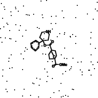 COC(=O)C12CCC(C(=O)OC3(c4ccccc4)CCNCC3)(CC1)CC2